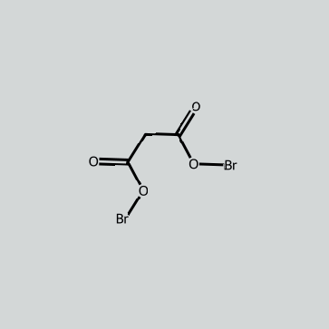 O=C(CC(=O)OBr)OBr